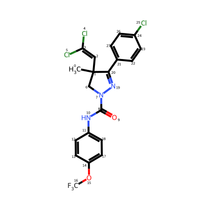 CC1(C=C(Cl)Cl)CN(C(=O)Nc2ccc(OC(F)(F)F)cc2)N=C1c1ccc(Cl)cc1